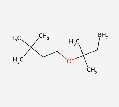 BCC(C)(C)OCCC(C)(C)C